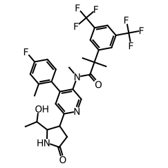 Cc1cc(F)ccc1-c1cc(C2CC(=O)NC2C(C)O)ncc1N(C)C(=O)C(C)(C)c1cc(C(F)(F)F)cc(C(F)(F)F)c1